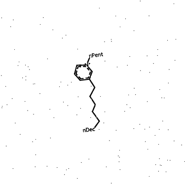 CCCCCCCCCCCCCCCc1ccc[n+](CCCCC)c1